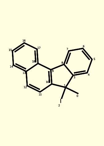 CC1(I)c2ccccc2-c2c1ccc1ccccc21